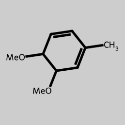 COC1C=CC(C)=CC1OC